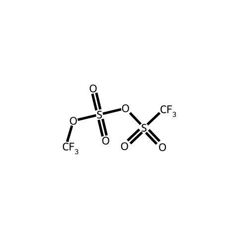 O=S(=O)(OC(F)(F)F)OS(=O)(=O)C(F)(F)F